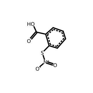 O=C(O)c1ccccc1S[N+](=O)[O-]